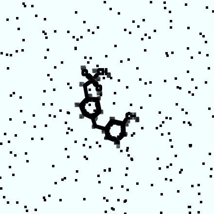 Cc1cncc(Cc2ccc(CS(C)(=O)=O)cc2)c1